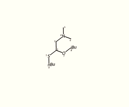 CCCCSC(CN(C)C)OC(C)CC